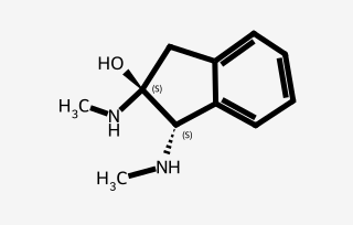 CN[C@H]1c2ccccc2C[C@@]1(O)NC